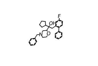 OC(Cc1cc(F)ccc1-c1ccccc1)(C1CCCC1)C1CN(Cc2ccccc2)CCO1